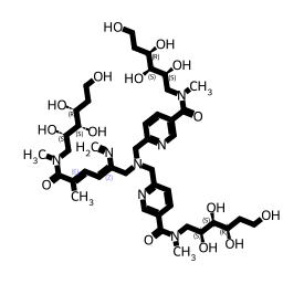 C=N/C(=C\C=C(/C)C(=O)N(C)C[C@H](O)[C@@H](O)[C@H](O)CCO)CN(Cc1ccc(C(=O)N(C)C[C@H](O)[C@@H](O)[C@H](O)CCO)cn1)Cc1ccc(C(=O)N(C)C[C@H](O)[C@@H](O)[C@H](O)CCO)cn1